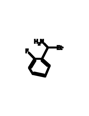 C[CH]C(N)c1ccccc1F